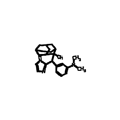 CN(C)c1cccc(C(c2ncc[nH]2)C2(O)C3CC4CC(C3)CC2C4)c1